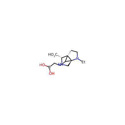 CCN1CC[C@@]23C(CCB(O)O)[C@@]12CN[C@@H]3C(=O)O